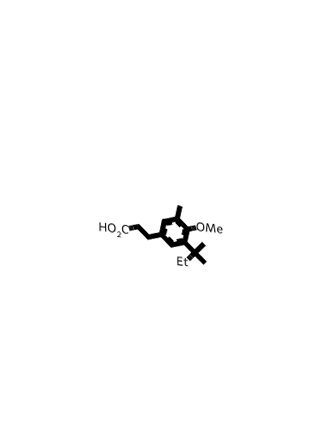 CCC(C)(C)c1cc(CCC(=O)O)cc(C)c1OC